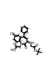 CC(C)(C)OC(=O)CNC1C=C(c2ccccc2)c2cc(Cl)ccc2N(CC(=O)O)C1=O